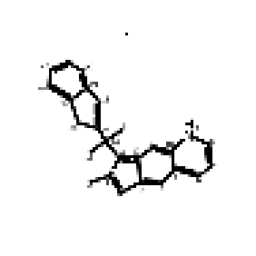 Cc1cc2cc3ccc[nH]c3cc2c1C(C)(C)C1=Cc2ccccc2C1